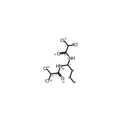 CCCC(NC(=O)C(Cl)Cl)NC(=O)C(Cl)Cl